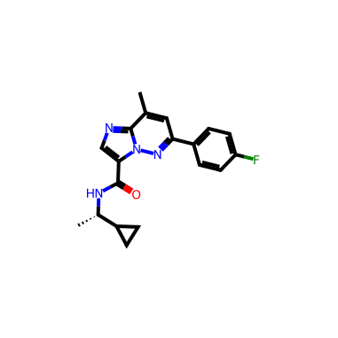 Cc1cc(-c2ccc(F)cc2)nn2c(C(=O)N[C@@H](C)C3CC3)cnc12